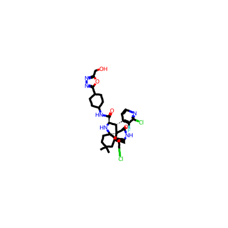 CC1(C)CCC2(CC1)N[C@@H](C(=O)NC1CCC(c3nnc(CO)o3)CC1)[C@H](c1ccnc(Cl)c1F)[C@]21C(=O)Nc2cc(Cl)ccc21